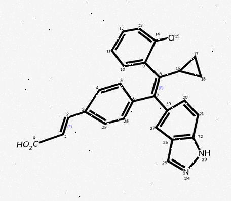 O=C(O)/C=C/c1ccc(/C(=C(\c2ccccc2Cl)C2CC2)c2ccc3[nH]ncc3c2)cc1